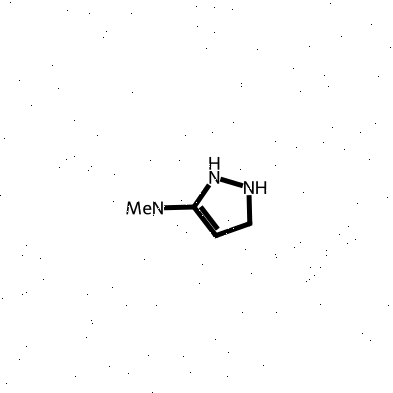 CNC1=CCNN1